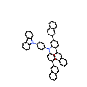 C1=c2ccccc2=CC(c2ccc(-c3ccc4ccccc4c3)c(N(c3ccc(-c4ccc5ccccc5c4)cc3)c3ccc(-n4c5ccccc5c5ccccc54)cc3)c2)C1